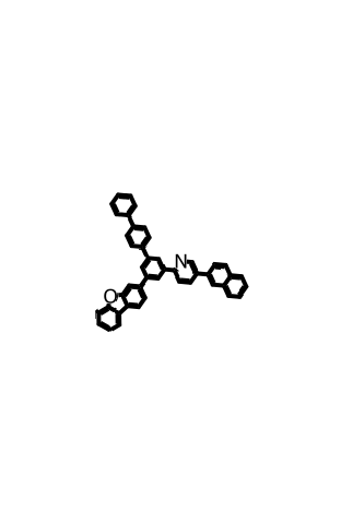 c1ccc(-c2ccc(-c3cc(-c4ccc5c(c4)oc4ccccc45)cc(-c4ccc(-c5ccc6ccccc6c5)cn4)c3)cc2)cc1